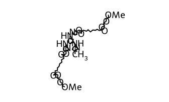 COCCOCCOC(=O)CCCCCCCCC(=O)Oc1ccc(Nc2cc(Nc3ccc(C)cn3)cc(Nc3ccc(OC(=O)CCCCCCCCC(=O)OCCOCCOC)cn3)c2)nc1